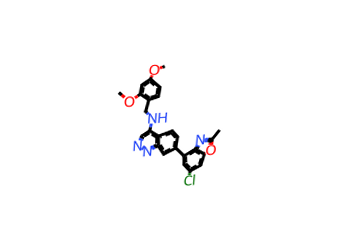 COc1ccc(CNc2cnnc3cc(-c4cc(Cl)cc5oc(C)nc45)ccc23)c(OC)c1